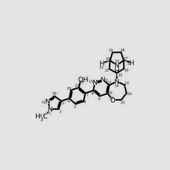 Cn1cc(-c2ccc(-c3cc4c(nn3)N([C@@H]3C[C@H]5CC[C@@H](C3)N5)CCCO4)c(O)c2)cn1